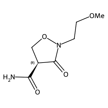 COCCN1OC[C@H](C(N)=O)C1=O